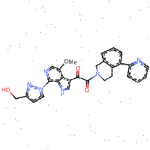 COc1cnc(-n2ccc(CO)n2)c2[nH]cc(C(=O)C(=O)N3CCc4c(cccc4-c4ccccn4)C3)c12